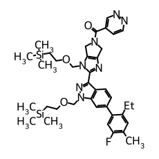 CCc1cc(C)c(F)cc1-c1ccc2c(-c3nc4c(n3COCC[Si](C)(C)C)CN(C(=O)c3ccnnc3)C4)nn(COCC[Si](C)(C)C)c2c1